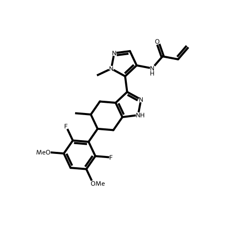 C=CC(=O)Nc1cnn(C)c1-c1n[nH]c2c1CC(C)C(c1c(F)c(OC)cc(OC)c1F)C2